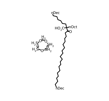 CCCCCCCCCCCCCCCCCCCCCCCCCCCCCC(=O)C(CCCCCCCC)(CCCCCCCCCCCCCCCC)C(=O)O.O1[SiH2]O[SiH2]O[SiH2]O[SiH2]O[SiH2]1